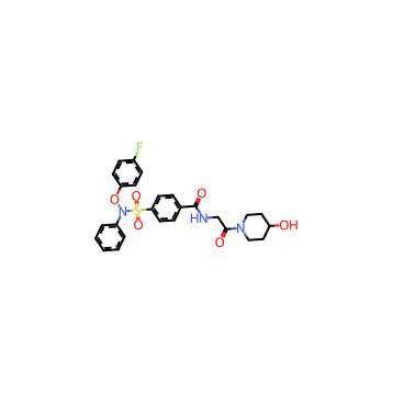 O=C(NCC(=O)N1CCC(O)CC1)c1ccc(S(=O)(=O)N(Oc2ccc(F)cc2)c2ccccc2)cc1